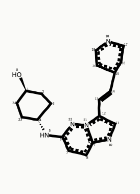 O[C@H]1CC[C@H](Nc2ccc3ncc(C=Cc4ccncc4)n3n2)CC1